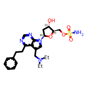 CCN(CC)Cc1cn([C@H]2C[C@H](O)[C@@H](COS(N)(=O)=O)O2)c2ncnc(CCc3ccccc3)c12